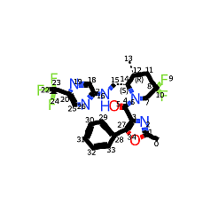 Cc1nc(C(=O)N2CC(F)(F)C[C@@H](C)[C@H]2CNc2cnc(C(F)(F)F)cn2)c(-c2ccccc2)o1